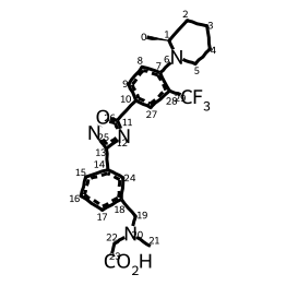 C[C@H]1CCCCN1c1ccc(-c2nc(-c3cccc(CN(C)CC(=O)O)c3)no2)cc1C(F)(F)F